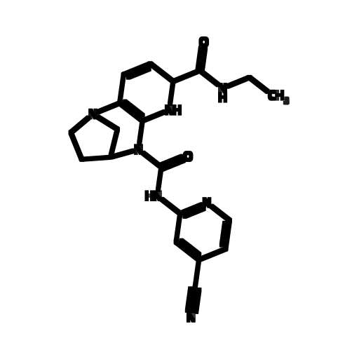 CCNC(=O)C1C=CC2=C(N1)N(C(=O)Nc1cc(C#N)ccn1)C1CCN2C1